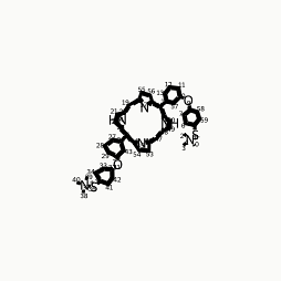 C[N+](C)(C)Sc1ccc(Oc2cccc(-c3c4nc(cc5ccc([nH]5)c(-c5cccc(Oc6ccc(S[N+](C)(C)C)cc6)c5)c5nc(cc6ccc3[nH]6)C=C5)C=C4)c2)cc1